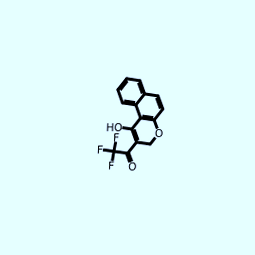 O=C(C1=C(O)c2c(ccc3ccccc23)OC1)C(F)(F)F